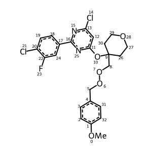 COc1ccc(COOCC2(Oc3cc(Cl)nc(-c4ccc(Cl)c(F)c4)n3)CCOCC2)cc1